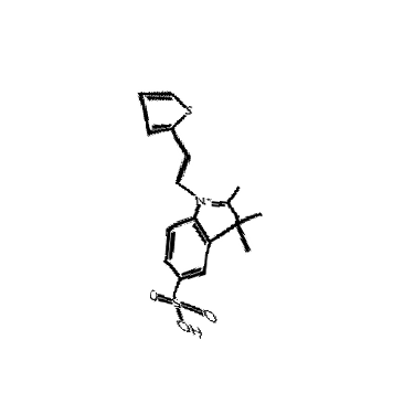 CC1=[N+](CCc2cccs2)c2ccc(S(=O)(=O)O)cc2C1(C)C